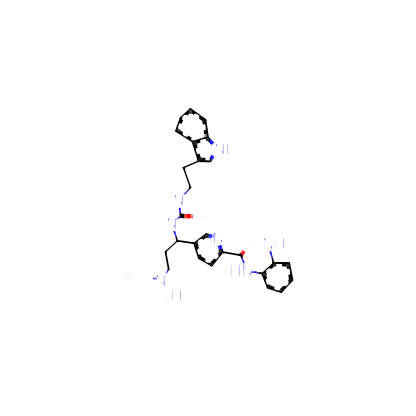 CN(C)CCC(NC(=O)NCCc1c[nH]c2ccccc12)c1ccc(C(=O)Nc2ccccc2N)nc1